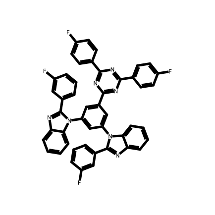 Fc1ccc(-c2nc(-c3ccc(F)cc3)nc(-c3cc(-n4c(-c5cccc(F)c5)nc5ccccc54)cc(-n4c(-c5cccc(F)c5)nc5ccccc54)c3)n2)cc1